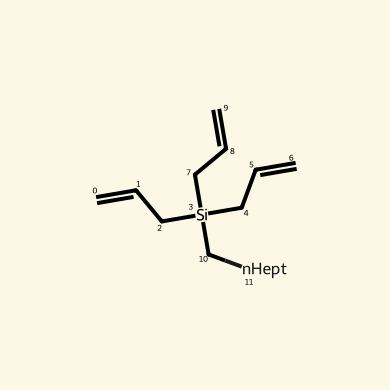 C=CC[Si](CC=C)(CC=C)CCCCCCCC